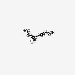 COc1cc2sc(C(=O)CCC(=O)O)cc2cc1OCCOc1ccc2sc(C(=O)CCC(=O)O)cc2c1